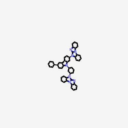 c1ccc(-c2ccc3c(c2)c2ccc(-n4c5ccccc5n5c6ccccc6nc45)cc2n3-c2cccc(-n3c4ccccc4n4c5ccccc5nc34)c2)cc1